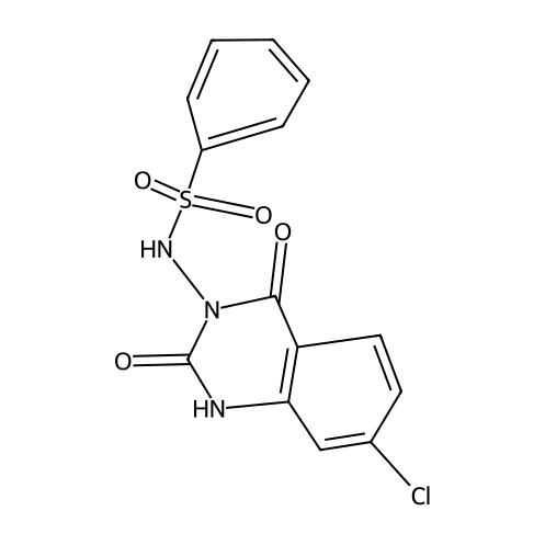 O=c1[nH]c2cc(Cl)ccc2c(=O)n1NS(=O)(=O)c1ccccc1